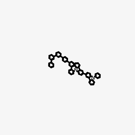 c1ccc(-c2cccc(-c3cccc(-c4ccc(-c5cccc(-c6ccccc6-n6c7ccccc7c7cc(-c8ccc9c(c8)c8ccccc8n9-c8ccccc8)ccc76)c5)cc4)c3)c2)cc1